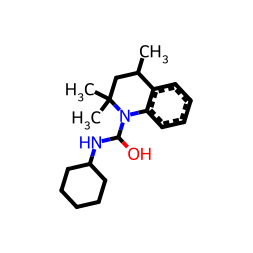 CC1CC(C)(C)N(C(O)NC2CCCCC2)c2ccccc21